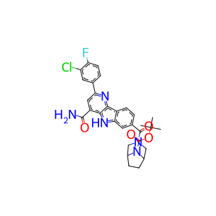 CC(C)(C)OC(=O)N1C2CCC1CN(C(=O)c1ccc3c(c1)[nH]c1c(C(N)=O)cc(-c4ccc(F)c(Cl)c4)nc13)C2